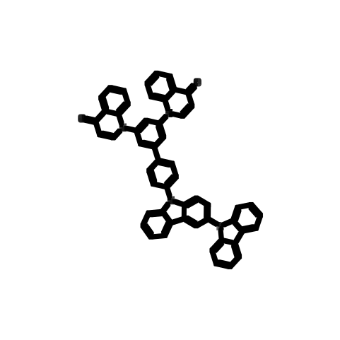 O=c1ccn(-c2cc(-c3ccc(-n4c5ccccc5c5cc(-n6c7ccccc7c7ccccc76)ccc54)cc3)cc(-n3ccc(=O)c4ccccc43)c2)c2ccccc12